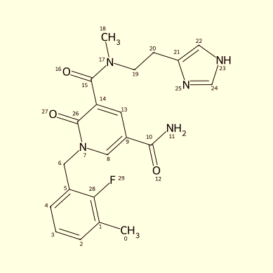 Cc1cccc(Cn2cc(C(N)=O)cc(C(=O)N(C)CCc3c[nH]cn3)c2=O)c1F